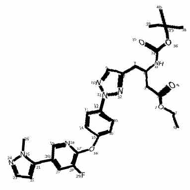 CCOC(=O)CC(Cc1cnn(-c2ccc(Oc3ncc(-c4ccnn4C)cc3F)cc2)n1)NC(=O)OC(C)(C)C